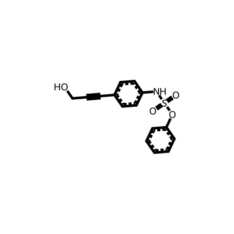 O=S(=O)(Nc1ccc(C#CCO)cc1)Oc1ccccc1